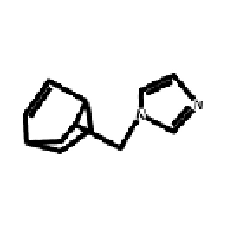 C1=CC2CCC1CC2Cn1ccnc1